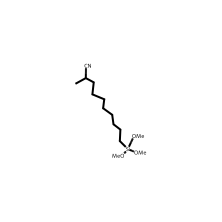 CO[Si](CCCCCCCCC(C)C#N)(OC)OC